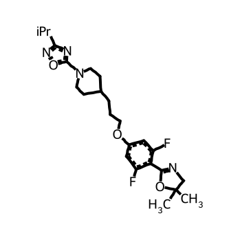 CC(C)c1noc(N2CCC(CCCOc3cc(F)c(C4=NCC(C)(C)O4)c(F)c3)CC2)n1